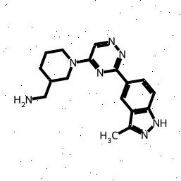 Cc1n[nH]c2ccc(-c3nncc(N4CCCC(CN)C4)n3)cc12